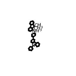 CC1(C)c2ccccc2-c2cccc(Nc3ccc(-c4ccc5c(c4)c4ccccc4n5-c4ccccc4)cc3)c21